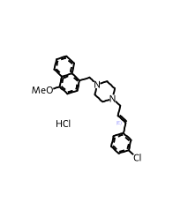 COc1ccc(CN2CCN(C/C=C/c3cccc(Cl)c3)CC2)c2ccccc12.Cl